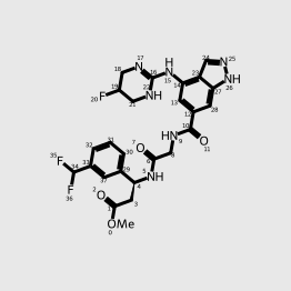 COC(=O)C[C@H](NC(=O)CNC(=O)c1cc(NC2=NCC(F)CN2)c2cn[nH]c2c1)c1cccc(C(F)F)c1